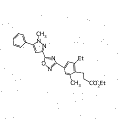 CCOC(=O)CCc1c(C)cc(-c2noc(-c3cc(-c4ccccc4)n(C)n3)n2)cc1CC